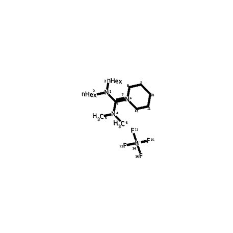 CCCCCCN(CCCCCC)C(N(C)C)=[N+]1CCCCC1.F[B-](F)(F)F